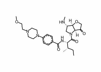 CC[C@H](C)[C@H](NC(=O)c1ccc(N2CCN(CCOC)CC2)cc1)C(=O)N1C[C@H](NC)[C@H]2OCC(=O)[C@H]21